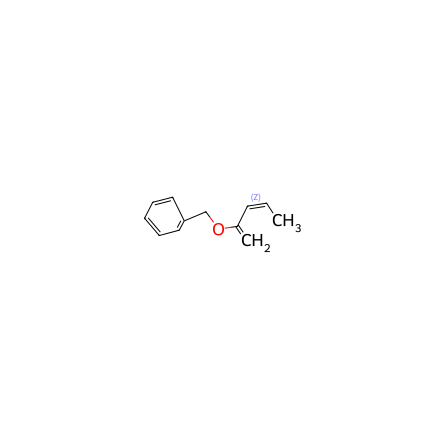 C=C(/C=C\C)OCc1ccccc1